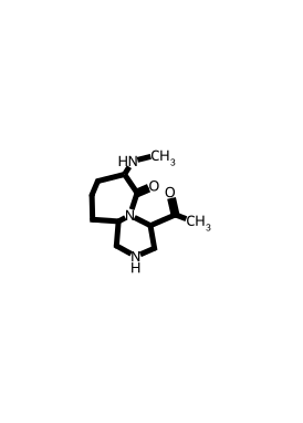 CNC1CCCC2CNCC(C(C)=O)N2C1=O